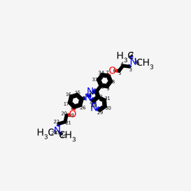 CN(C)CCCOc1ccc(-c2nn(-c3cccc(OCCCN(C)C)c3)c3ncccc23)cc1